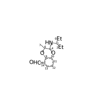 CCC(CC)NC(=O)C(C)Oc1ccccc1C=O